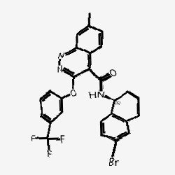 Cc1ccc2c(C(=O)N[C@H]3CCCc4cc(Br)ccc43)c(Oc3cccc(C(F)(F)F)c3)nnc2c1